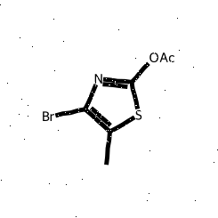 CC(=O)Oc1nc(Br)c(C)s1